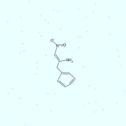 NC(=C[N+](=O)[O-])Cc1ccccc1